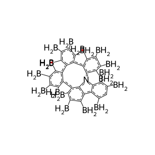 Bc1cc(B)c2c3c(B)c(B)c(B)c4c5c(B)c(B)c(B)c(B)c5c5c(B)c(B)c(B)c(B)c5c5c(B)c(B)c(B)c(B)c5n(c2c1B)c43